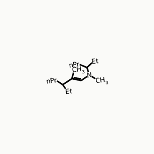 CCCC(CC)/C(C)=C/N(C)C(CC)CCC